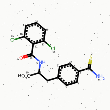 NC(=S)c1ccc(CC(NC(=O)c2c(Cl)cccc2Cl)C(=O)O)cc1